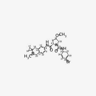 COC1C[C@H](C(=O)Nc2ccc3c(c2)CC2(CC2)N(C)C3)N(C(=O)NC2C=CC(Br)=CC2)C1